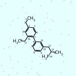 CCc1ccc(-c2cccc(CC(C)P)c2)c(CC)c1